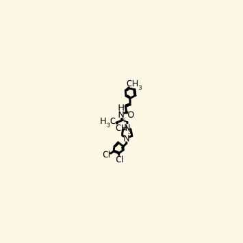 Cc1ccc(C=CC(=O)N[C@@H](CN2CCN(Cc3ccc(Cl)c(Cl)c3)CC2)C(C)C)cc1